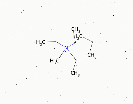 CC[N+](C)(CC)CC.[CH2]CC